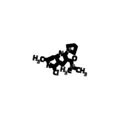 Cc1cc2nc(N3CCCC3)c(C(=O)N(C)C)cc2c(Cl)n1